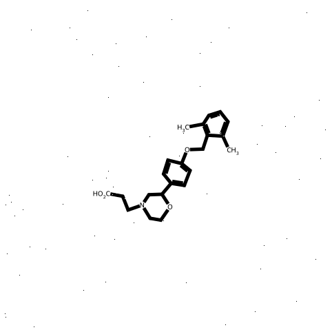 Cc1cccc(C)c1COc1ccc(C2CN(CCC(=O)O)CCO2)cc1